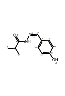 CC(C)C(=O)N/N=C\c1ccc(O)cc1